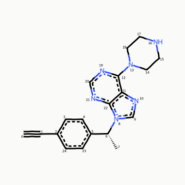 C#Cc1ccc([C@@H](C)n2cnc3c(N4CCNCC4)ncnc32)cc1